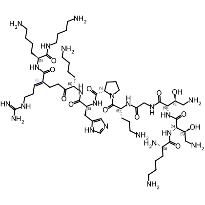 N=C(N)NCC/C=C(\CCC(=O)[C@H](CCCCN)NC(=O)[C@H](Cc1cnc[nH]1)NC(=O)[C@@H]1CCCN1C(=O)[C@@H](CCCN)NC(=O)CNC(=O)[C@@H](NC(=O)[C@@H](NC(=O)[C@@H](N)CCCCN)[C@@H](O)CN)[C@@H](O)CN)C(=O)N[C@@H](CCCCN)C(=O)NCCCCN